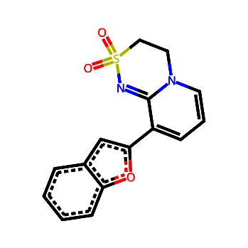 O=S1(=O)CCN2C=CC=C(c3cc4ccccc4o3)C2=N1